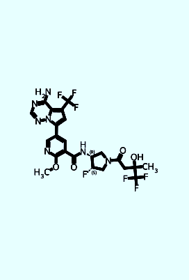 COc1ncc(-c2cc(C(F)(F)F)c3c(N)ncnn23)cc1C(=O)N[C@@H]1CN(C(=O)CC(C)(O)C(F)(F)F)C[C@@H]1F